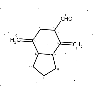 C=C1CC(C=O)C(=C)C2CCCC12